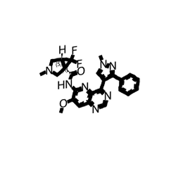 COc1cc2ncnc(-c3cn(C)nc3-c3ccccc3)c2nc1NC(=O)[C@]12CN(C)C[C@H]1C2(F)F